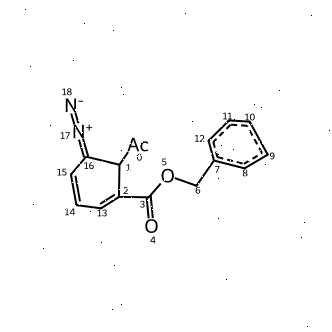 CC(=O)C1C(C(=O)OCc2ccccc2)=CC=CC1=[N+]=[N-]